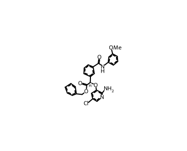 COc1cccc(NC(=O)c2cccc([C@@H](Oc3cc(Cl)cnc3N)C(=O)OCc3ccccc3)c2)c1